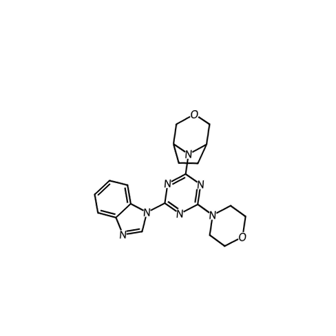 c1ccc2c(c1)ncn2-c1nc(N2CCOCC2)nc(N2C3CCC2COC3)n1